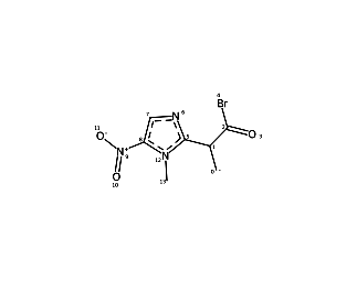 [CH2]C(C(=O)Br)c1ncc([N+](=O)[O-])n1C